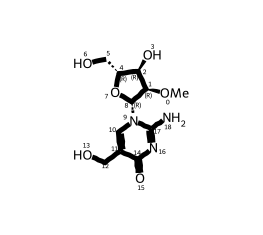 CO[C@@H]1[C@H](O)[C@@H](CO)O[C@H]1n1cc(CO)c(=O)nc1N